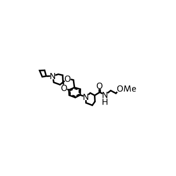 COCCNC(=O)C1CCCN(c2ccc3c(c2)COC2(CCN(C4CCC4)CC2)O3)C1